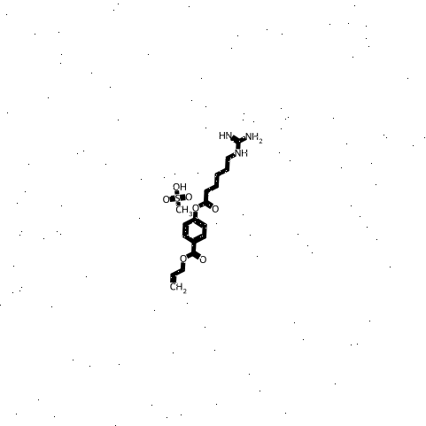 C=CCOC(=O)c1ccc(OC(=O)CCCCCNC(=N)N)cc1.CS(=O)(=O)O